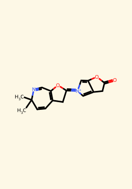 CC1(C)C=CC2=C(C=N1)O/C(=[N+]1/C=C3CC(=O)OC3=C1)C2